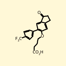 O=C(O)CCCOc1cc2c(cc1-c1ccc(C(F)(F)F)cc1)C(=O)CC2